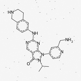 CC(C)n1c(=O)c2cnc(Nc3ccc4c(c3)CCNC4)nc2n1-c1ccnc(CN)c1